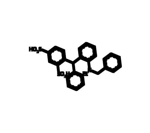 CCN(Cc1ccccc1)c1ccccc1C(c1ccccc1)c1ccc(S(=O)(=O)O)cc1S(=O)(=O)O